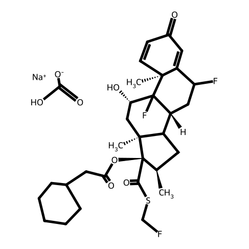 C[C@@H]1CC2[C@H]3CC(F)C4=CC(=O)C=C[C@]4(C)C3(F)[C@@H](O)C[C@]2(C)[C@@]1(OC(=O)CC1CCCCC1)C(=O)SCF.O=C([O-])O.[Na+]